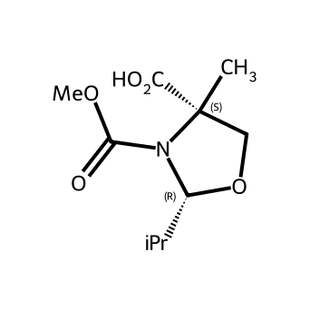 COC(=O)N1[C@@H](C(C)C)OC[C@@]1(C)C(=O)O